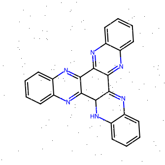 c1ccc2c(c1)N=C1c3nc4ccccc4nc3-c3nc4ccccc4nc3C1N2